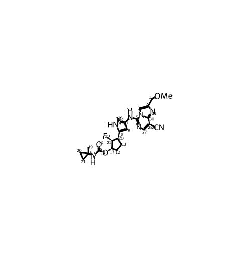 COCc1cn2c(Nc3cc([C@H]4CC[C@@H](OC(=O)NC5(C)CC5)[C@H]4F)[nH]n3)ncc(C#N)c2n1